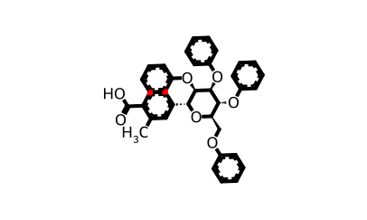 Cc1cc([C@H]2O[C@H](COc3ccccc3)[C@@H](Oc3ccccc3)[C@H](Oc3ccccc3)[C@@H]2Oc2ccccc2)ccc1C(=O)O